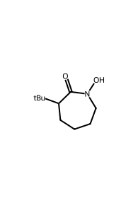 CC(C)(C)C1CCCCN(O)C1=O